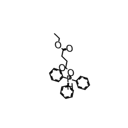 CCOC(=O)CCC(=O)O[PH](c1ccccc1)(c1ccccc1)c1ccccc1